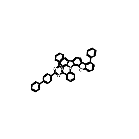 c1ccc(-c2ccc(-c3nc(-c4ccccc4)nc(-c4ccccc4-n4c5ccccc5c5ccc6c(oc7cccc(-c8ccccc8)c76)c54)n3)cc2)cc1